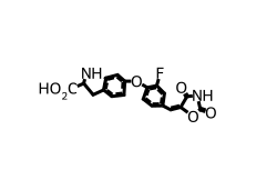 NC(Cc1ccc(Oc2ccc(/C=C3/OC(=O)NC3=O)cc2F)cc1)C(=O)O